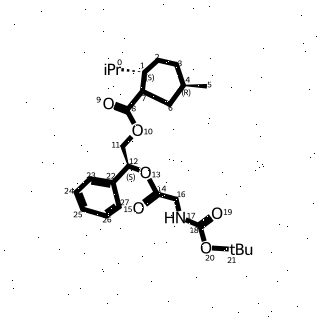 CC(C)[C@@H]1CC[C@@H](C)CC1C(=O)OC[C@@H](OC(=O)CNC(=O)OC(C)(C)C)c1ccccc1